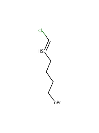 CCCCCCC[SiH]=CCl